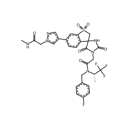 CNC(=O)Cn1cc(-c2ccc3c(c2)S(=O)(=O)CC32NC(=O)N(CC(=O)N(Cc3ccc(F)cc3)[C@@H](C)C(F)(F)F)C2=O)cn1